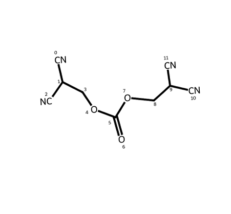 N#CC(C#N)COC(=O)OCC(C#N)C#N